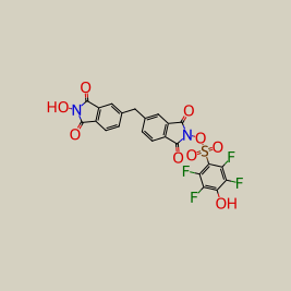 O=C1c2ccc(Cc3ccc4c(c3)C(=O)N(OS(=O)(=O)c3c(F)c(F)c(O)c(F)c3F)C4=O)cc2C(=O)N1O